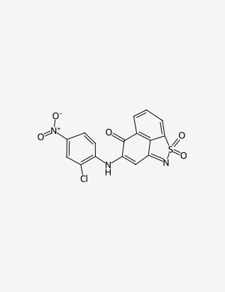 O=C1C(Nc2ccc([N+](=O)[O-])cc2Cl)=CC2=NS(=O)(=O)c3cccc1c32